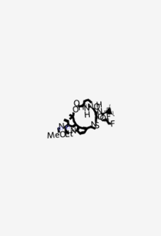 C=C/C(=C(\N=C/C)[C@H](C)OC)c1c2c3cc(ccc3n1CC)C1CSC(=N1)[C@@H](OC[C@@H](F)CF)[C@H](NC(=O)[C@H]1[C@H](C)[C@@H]1C)C(=O)N1CCC[C@H](N1)C(=O)OCC(C)(C)C2